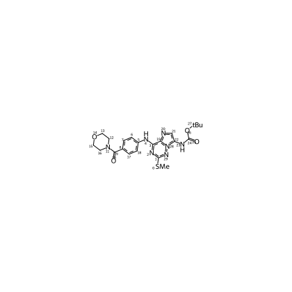 CSc1nc(Nc2ccc(C(=O)N3CCOCC3)cc2)c2ncc(NC(=O)OC(C)(C)C)n2n1